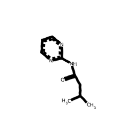 CC(C)CC(=O)Nc1ncccn1